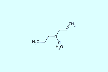 C=CCN(Cl)CC=C.O